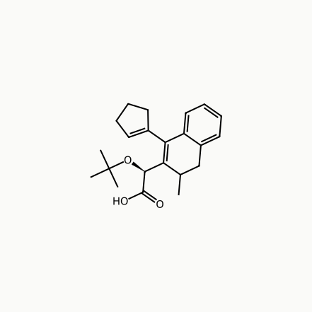 CC1Cc2ccccc2C(C2=CCCC2)=C1[C@H](OC(C)(C)C)C(=O)O